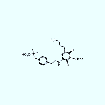 CCCCCCCn1c(=O)c(NCCc2ccc(SC(C)(C)C(=O)O)cc2)nn(CCCC(F)(F)F)c1=O